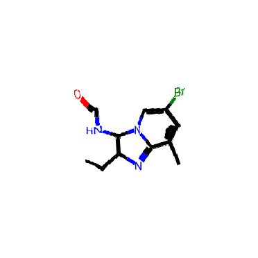 CCC1N=C2C(C)=CC(Br)=CN2C1NC=O